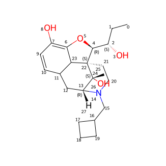 CC[C@H](O)[C@@H]1OC2=C(O)C=CC3C[C@H]4N(CC5CCC5)CC[C@@]1(C23)[C@]4(C)O